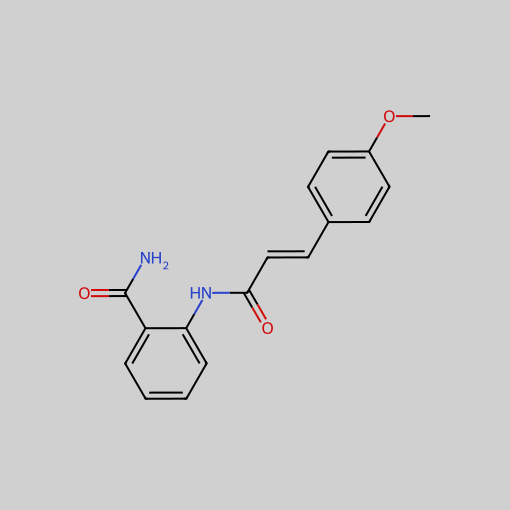 COc1ccc(C=CC(=O)Nc2ccccc2C(N)=O)cc1